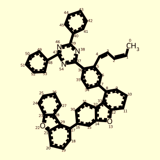 C/C=C\C=C/c1cc(-c2cccc3oc4cc(-c5cccc6oc7ccccc7c56)ccc4c23)ccc1-c1nc(-c2ccccc2)nc(-c2ccccc2)n1